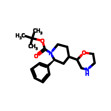 CC(C)(C)OC(=O)N1CCC(C2CNCCO2)C[C@H]1c1ccccc1